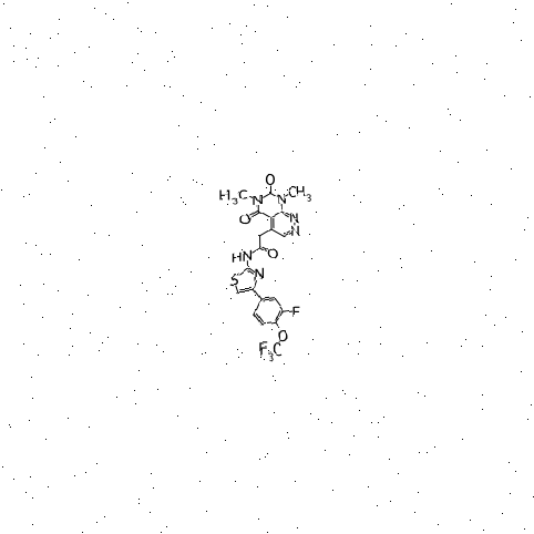 Cn1c(=O)c2c(CC(=O)Nc3nc(-c4ccc(OC(F)(F)F)c(F)c4)cs3)cnnc2n(C)c1=O